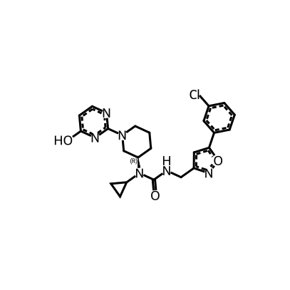 O=C(NCc1cc(-c2cccc(Cl)c2)on1)N(C1CC1)[C@@H]1CCCN(c2nccc(O)n2)C1